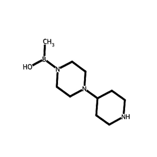 CB(O)N1CCN(C2CCNCC2)CC1